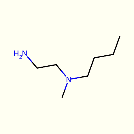 CCCCN(C)CCN